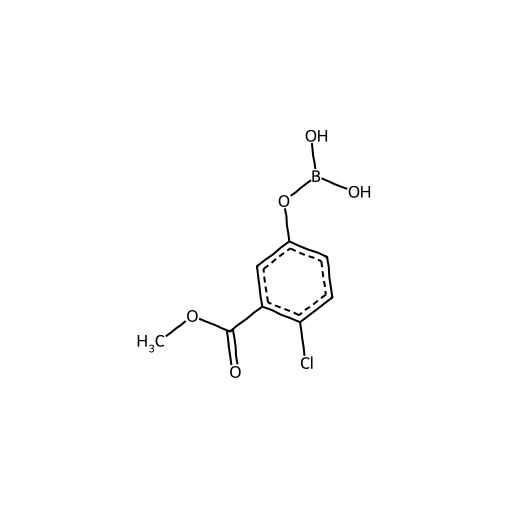 COC(=O)c1cc(OB(O)O)ccc1Cl